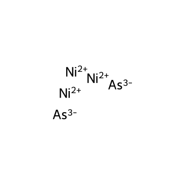 [As-3].[As-3].[Ni+2].[Ni+2].[Ni+2]